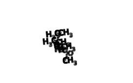 CCCCC1(C2CC[C@@]3(C)C(CC[C@H]4[C@@H]5CC[C@H](C(C)CCCC(C)C)[C@@]5(C)CC[C@@H]43)C2)CCCCC1